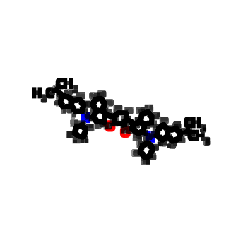 CC(C)c1ccc2cc(N(c3ccccc3)c3cc4oc5c(ccc6c5oc5cc(N(c7ccccc7)c7ccc8cc(C(C)C)ccc8c7)c7ccccc7c56)c4c4ccccc34)ccc2c1